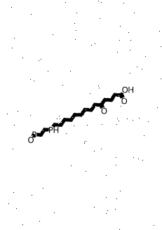 O=PCCPCCCCCCCCCC(=O)CCCC(=O)O